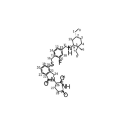 CC[C@@H]1CC[C@](C)(CC)[C@@H](NCc2ccc(CSc3cccc4c3CN(C3CCC(=O)NC3=O)C4=O)c(F)c2)C1